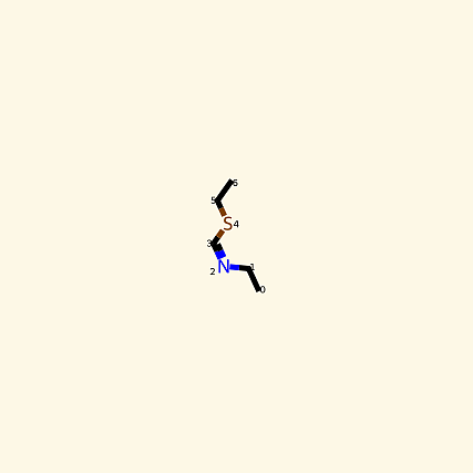 CC/N=C\SCC